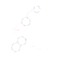 CCCCCCCCCCCCOc1ccc(OP(=O)(O)Oc2cccc(C[n+]3ccsc3)c2)c2ccccc12.[OH-]